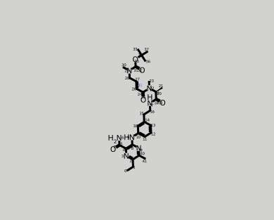 CCc1nc(C(N)=O)c(Nc2cccc(CCNC(=O)[C@H](C)N(C)C(=O)/C=C/CN(C)C(=O)OC(C)(C)C)c2)nc1C